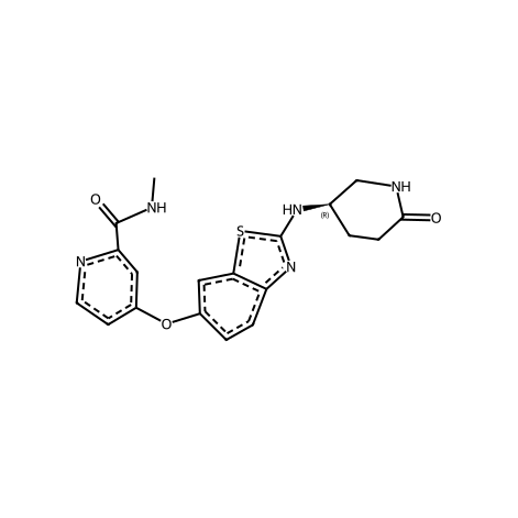 CNC(=O)c1cc(Oc2ccc3nc(N[C@@H]4CCC(=O)NC4)sc3c2)ccn1